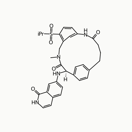 CC(C)S(=O)(=O)c1ccc2cc1CN(C)C(=O)[C@H](Nc1ccc3cc[nH]c(=O)c3c1)c1ccc(cc1)CCCC(=O)N2